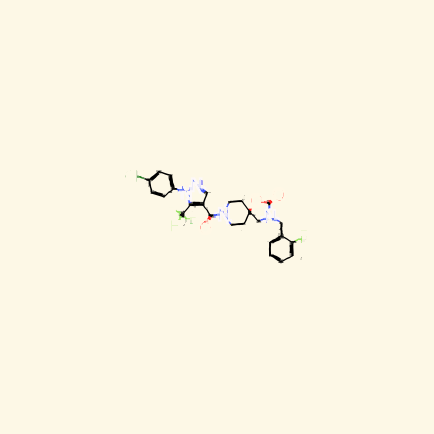 O=C1OC2(CCN(C(=O)c3cnn(-c4ccc(Cl)cc4)c3C(F)(F)F)CC2)CN1Cc1ccccc1F